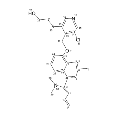 C=C/C=C(/c1cc(C)nc2c(OCc3c(Cl)cncc3SCCO)cccc12)N(C)C